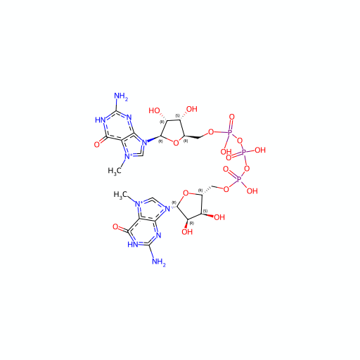 C[n+]1cn([C@@H]2O[C@H](COP(=O)(O)OP(=O)(O)OP(=O)(O)OC[C@H]3O[C@@H](n4c[n+](C)c5c(=O)[nH]c(N)nc54)[C@H](O)[C@@H]3O)[C@@H](O)[C@H]2O)c2nc(N)[nH]c(=O)c21